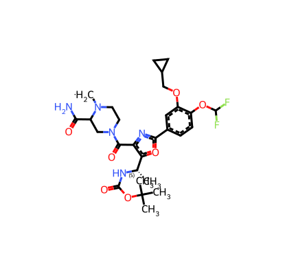 [CH2]N1CCN(C(=O)c2nc(-c3ccc(OC(F)F)c(OCC4CC4)c3)oc2[C@H](C)NC(=O)OC(C)(C)C)CC1C(N)=O